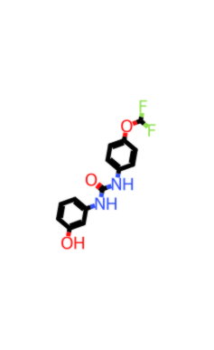 O=C(Nc1ccc(OC(F)F)cc1)Nc1cccc(O)c1